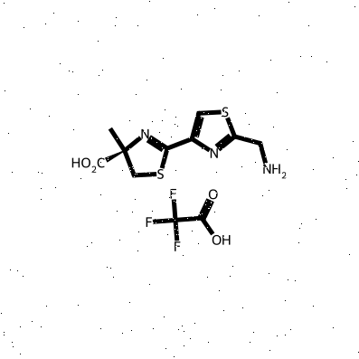 C[C@@]1(C(=O)O)CSC(c2csc(CN)n2)=N1.O=C(O)C(F)(F)F